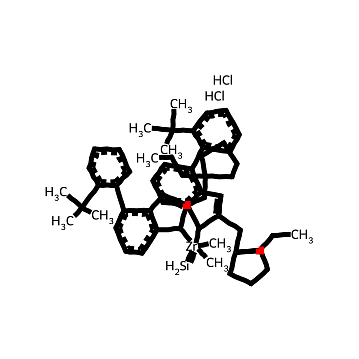 CCCC1(CC2=Cc3c(-c4ccccc4C(C)(C)C)cccc3[CH]2[Zr]([CH3])([CH3])(=[SiH2])[CH]2C(CC3(CCC)CCCC3)=Cc3c(-c4ccccc4C(C)(C)C)cccc32)CCCC1.Cl.Cl